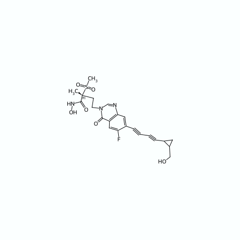 C[C@@](CCn1cnc2cc(C#CC#CC3CC3CO)c(F)cc2c1=O)(C(=O)NO)S(C)(=O)=O